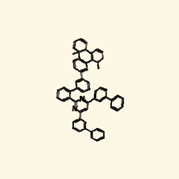 C[C@@H]1CC=CC2=C1c1cc(-c3cccc(-c4ccccc4-c4nc(-c5cccc(-c6ccccc6)c5)cc(-c5cccc(-c6ccccc6)c5)n4)c3)ccc1C1(C)C=CC=CC21